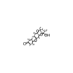 CC(CC(C)(C)Oc1ccc(Oc2ccc(Cl)cc2)cc1)C(=O)O